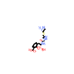 NCCSCc1cn(CC(=O)NC2Cc3cccc(C(=O)O)c3OB2O)nn1